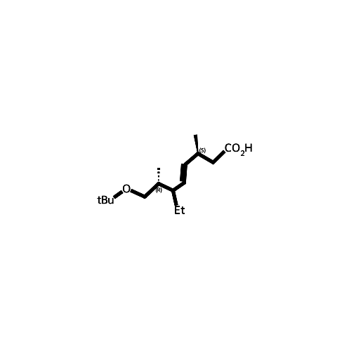 CCC(C=C[C@@H](C)CC(=O)O)[C@@H](C)COC(C)(C)C